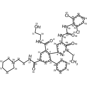 CCn1nc(-c2c(C(=O)NCCO)cc(C(=O)NCCN3CCCCC3)cc2-c2ccccc2)cc(NC(=O)Nc2c(Cl)cncc2Cl)c1=O